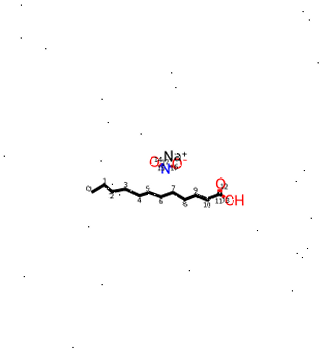 CCCCCCCCCCCC(=O)O.O=N[O-].[Na+]